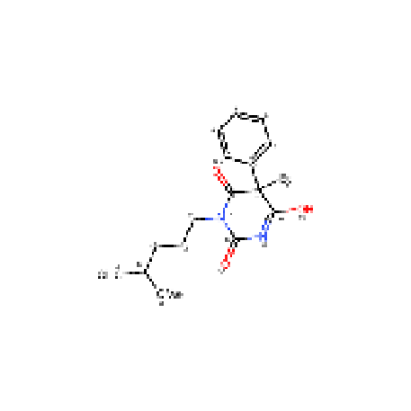 CCC1(c2ccccc2)C(=O)N(CCCC(C=O)OC)C(=O)N=C1O